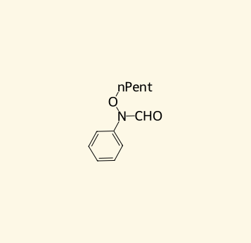 CCCCCON(C=O)c1ccccc1